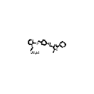 CCOC(=O)C=Cc1cccnc1OCc1ccc(OCc2nc(-c3ccccc3)oc2C)cc1